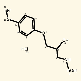 CCCCCCCCNCC(O)COc1ccc(SCCC)cc1.Cl